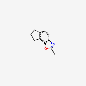 Cc1nc2ccc3c(c2o1)CCC3